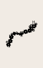 Cn1c2ccncc2c2ccc(-c3ccc(O[C@H]4C[C@H](OCCCC(F)(F)COC5CCN(c6ccc7c(c6)C(=O)N(C6CCC(=O)NC6=O)C7=O)CC5)C4)nc3)cc21